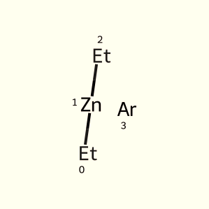 C[CH2][Zn][CH2]C.[Ar]